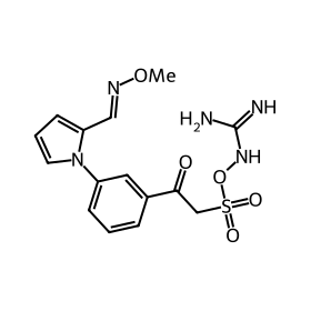 CON=Cc1cccn1-c1cccc(C(=O)CS(=O)(=O)ONC(=N)N)c1